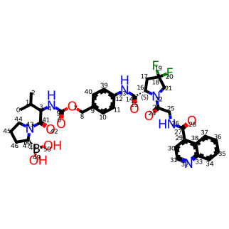 CC(C)C(NC(=O)OCc1ccc(NC(=O)[C@@H]2CC(F)(F)CN2C(=O)CNC(=O)c2ccnc3ccccc23)cc1)C(=O)N1CCC[C@H]1B(O)O